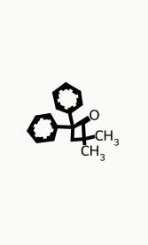 CC1(C)CC(c2ccccc2)(c2ccccc2)C1=O